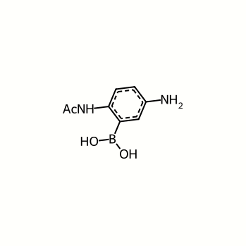 CC(=O)Nc1ccc(N)cc1B(O)O